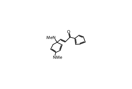 CNC1=CCC(C=CC(=O)c2ccccc2)(NC)C=C1